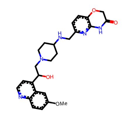 COc1ccc2nccc(C(O)CN3CCC(NCc4ccc5c(n4)NC(=O)CO5)CC3)c2c1